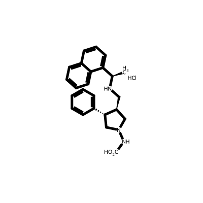 C[C@@H](NC[C@H]1CN(NC(=O)O)C[C@@H]1c1ccccc1)c1cccc2ccccc12.Cl